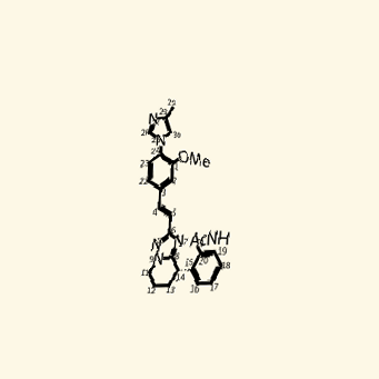 COc1cc(/C=C/c2nc3n(n2)CCC[C@H]3c2ccccc2NC(C)=O)ccc1-n1cnc(C)c1